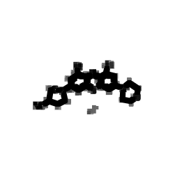 CCc1cc(N2CCOCC2)cc2[s+]c3cc(N4CCC(C#N)CC4)cc(CC)c3nc12.[I-]